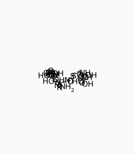 CC(CCCSSCCC(=O)NCC#Cc1cn([C@H]2CC(O)[C@@H](COP(=O)(O)OP(=O)(O)OP(=O)(O)O)O2)c2ncnc(N)c12)C(=O)NC(CC(=O)O)C(=O)NC(CC(=O)O)C(=O)O